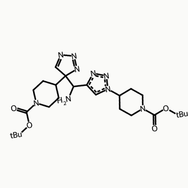 CC(C)(C)OC(=O)N1CCC(n2cc(C(N)C3(C4CCN(C(=O)OC(C)(C)C)CC4)C=NN=N3)nn2)CC1